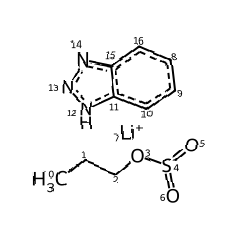 CCCO[S-](=O)=O.[Li+].c1ccc2[nH]nnc2c1